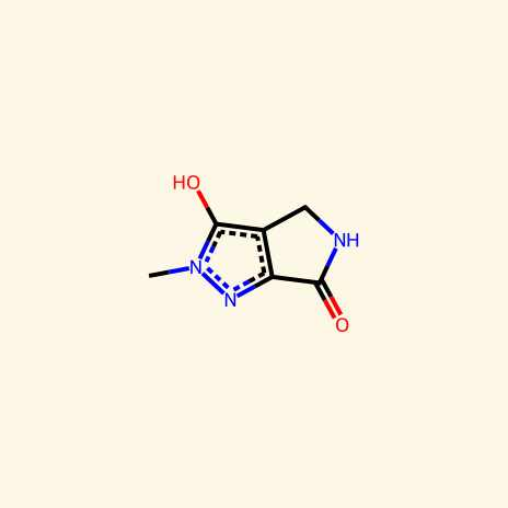 Cn1nc2c(c1O)CNC2=O